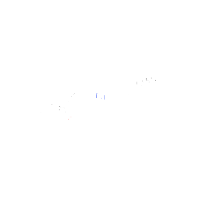 COCCNCc1ccco1